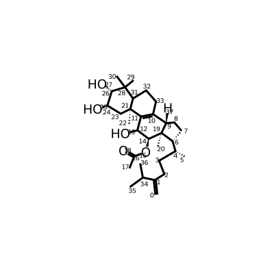 C=C(CC[C@@H](C)[C@H]1CC[C@H]2C3=C(C(O)[C@H](OC(C)=O)[C@]12C)[C@@]1(C)C[C@@H](O)[C@H](O)C(C)(C)C1CC3)C(C)C